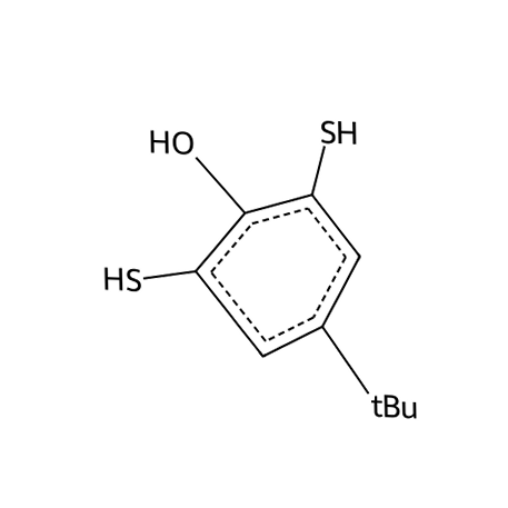 CC(C)(C)c1cc(S)c(O)c(S)c1